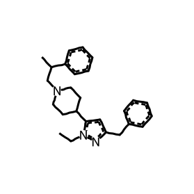 CCn1nc(Cc2ccccc2)cc1C1CCN(CC(C)c2ccccc2)CC1